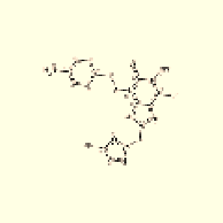 CCCn1c(=O)c2[nH]c(Cc3ncc(F)o3)nc2n(CCc2ccc(N)cc2)c1=O